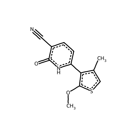 COc1scc(C)c1-c1ccc(C#N)c(=O)[nH]1